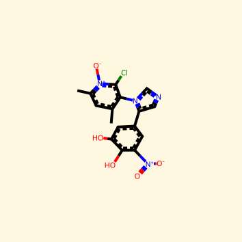 Cc1cc(C)[n+]([O-])c(Cl)c1-n1cncc1-c1cc(O)c(O)c([N+](=O)[O-])c1